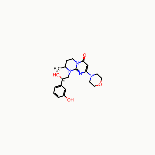 O=c1cc(N2CCOCC2)nc2n1CCC(C(F)(F)F)N2C[C@H](O)c1cccc(O)c1